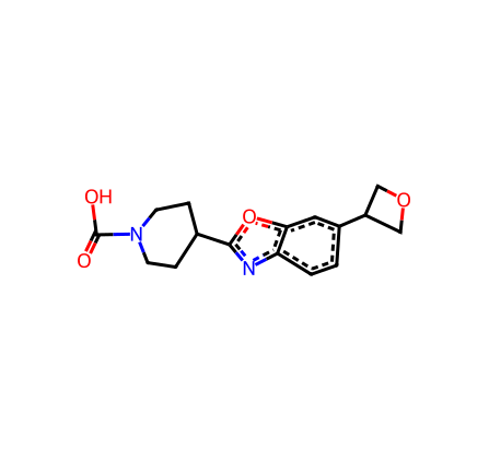 O=C(O)N1CCC(c2nc3ccc(C4COC4)cc3o2)CC1